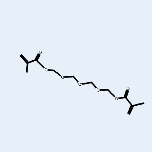 C=C(C)C(=O)OCOCOCOCOC(=O)C(=C)C